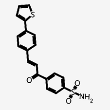 NS(=O)(=O)c1ccc(C(=O)/C=C/c2ccc(-c3cccs3)cc2)cc1